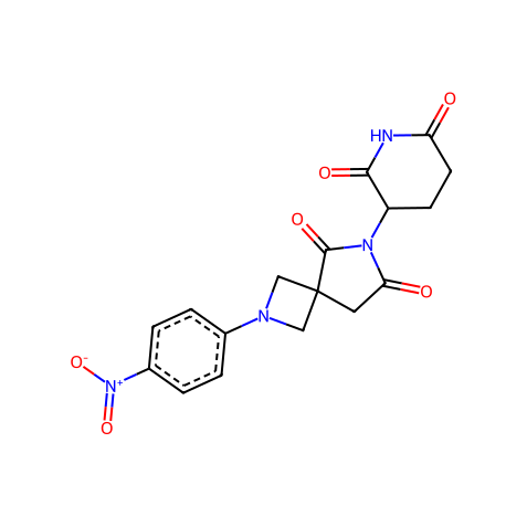 O=C1CCC(N2C(=O)CC3(CN(c4ccc([N+](=O)[O-])cc4)C3)C2=O)C(=O)N1